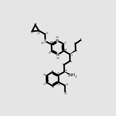 CCC[C@@H](CC[C@@H](N)c1ccccc1CC)c1cnc(SCC2CC2)cn1